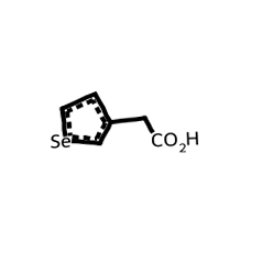 O=C(O)Cc1cc[se]c1